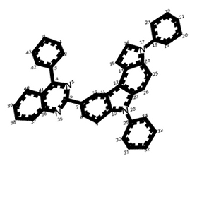 c1ccc(-c2nc(-c3ccc4c(c3)c3c5ccn(-c6ccccc6)c5ccc3n4-c3ccccc3)nc3ccccc23)cc1